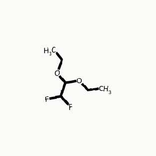 CCOC(OCC)C(F)F